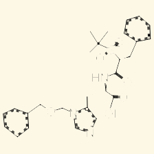 CC(C)(C)S(=O)(=O)[C@@H](Cc1ccccc1)C(=O)N[C@@H](Cc1cncn1COCc1ccccc1)C(=O)O